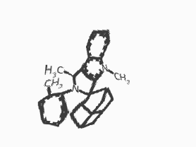 Cc1ccccc1N1[C@@H](C)c2c(n(C)c3ccccc23)C12C1CC3CC(C1)CC2C3